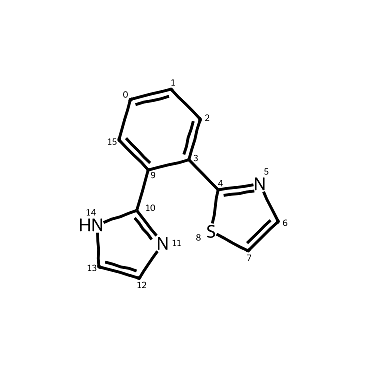 c1ccc(-c2nccs2)c(-c2ncc[nH]2)c1